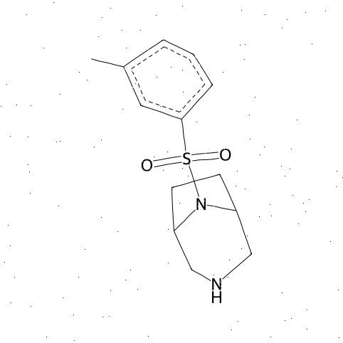 Cc1cccc(S(=O)(=O)N2C3CCC2CNC3)c1